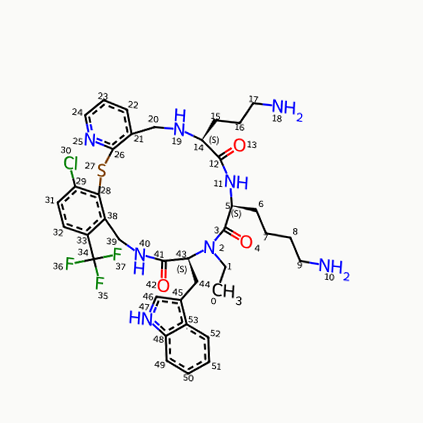 CCN1C(=O)[C@H](CCCCN)NC(=O)[C@H](CCCN)NCc2cccnc2Sc2c(Cl)ccc(C(F)(F)F)c2CNC(=O)[C@@H]1Cc1c[nH]c2ccccc12